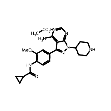 CC(=O)O.COc1cc(-c2nn(C3CCNCC3)c3ncnc(N)c23)ccc1NC(=O)C1CC1